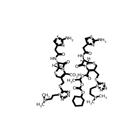 CC(OC(=O)OC1CCCCC1)OC(=O)C1=C(CSc2nnnn2CCN(C)C)CS[C@@H]2[C@H](NC(=O)Cc3csc(N)n3)C(=O)N12.CN(C)CCn1nnnc1SCC1=C(C(=O)O)N2C(=O)[C@@H](NC(=O)Cc3csc(N)n3)[C@H]2SC1